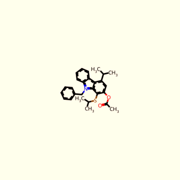 CC(=O)Oc1cc(C(C)C)c2c3ccccc3n(Cc3ccccc3)c2c1SC(C)C